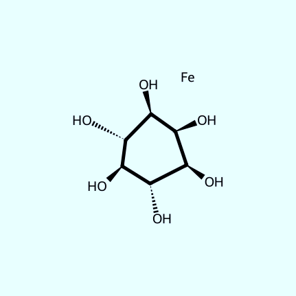 O[C@H]1[C@H](O)[C@@H](O)[C@H](O)[C@@H](O)[C@H]1O.[Fe]